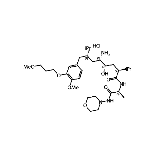 COCCCOc1cc(C[C@@H](C[C@H](N)[C@@H](O)C[C@H](C(=O)N[C@@H](C)C(=O)NN2CCOCC2)C(C)C)C(C)C)ccc1OC.Cl